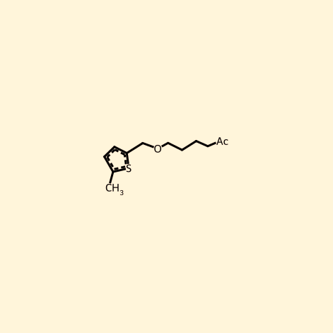 CC(=O)CCCCOCc1ccc(C)s1